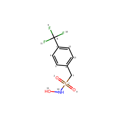 O=S(=O)(Cc1ccc(C(F)(F)F)cc1)NO